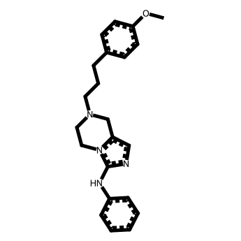 COc1ccc(CCCN2CCn3c(cnc3Nc3ccccc3)C2)cc1